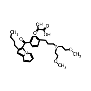 CCCCc1cc2ccccn2c1C(=O)c1ccc(CCCN(CCOC)CCOC)cc1.O=C(O)C(=O)O